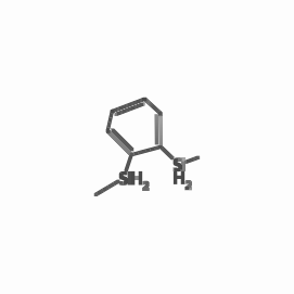 C[SiH2]c1ccccc1[SiH2]C